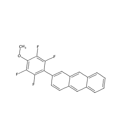 COc1c(F)c(F)c(-c2ccc3cc4ccccc4cc3c2)c(F)c1F